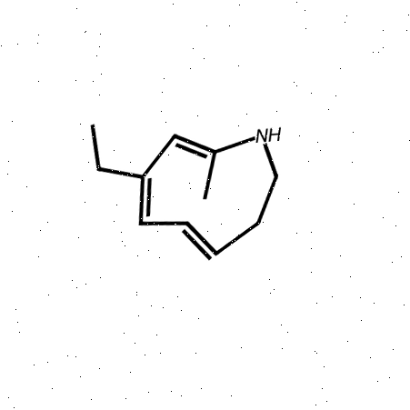 CCC1=C/C=C/CCN\C(C)=C\1